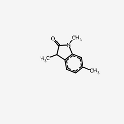 Cc1ccc2c(c1)N(C)C(=O)C2C